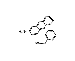 N#CCc1ccccc1.Nc1ccc2cc3ccccc3cc2c1